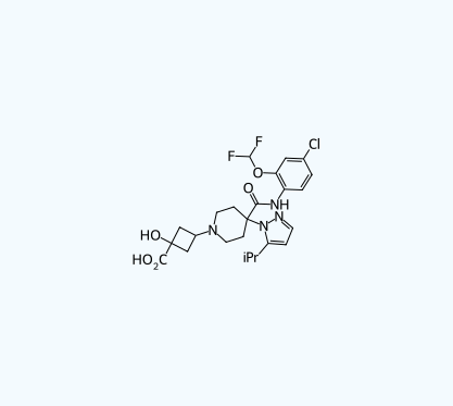 CC(C)c1ccnn1C1(C(=O)Nc2ccc(Cl)cc2OC(F)F)CCN(C2CC(O)(C(=O)O)C2)CC1